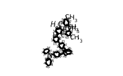 Cc1cc(C)c(B(c2cccc(-c3cccc(-c4ccc(C56CC7CC(C5)CC(c5ccc(N(c8ccccc8)c8ccccc8)cc5)(C7)C6)cc4)c3)c2)c2c(C)cc(C)cc2C)c(C)c1